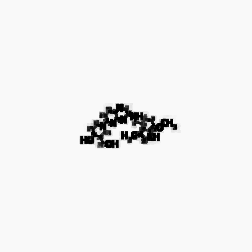 COc1ccc(CNc2cnc3ccc(N4CCC(O)C(CO)C4)nc3n2)c2c(C)c[nH]c12